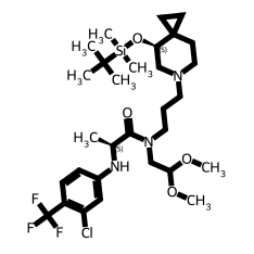 COC(CN(CCCN1CCC2(CC2)[C@H](O[Si](C)(C)C(C)(C)C)C1)C(=O)[C@H](C)Nc1ccc(C(F)(F)F)c(Cl)c1)OC